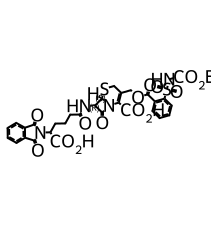 CCOC(=O)NS(=O)(=O)c1ccccc1C(=O)OCC1=C(C(=O)O)N2C(=O)[C@@H](NC(=O)CCCC(C(=O)O)N3C(=O)c4ccccc4C3=O)[C@@H]2SC1